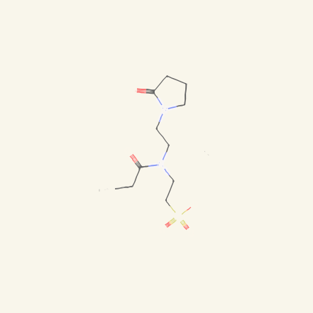 CCCCCCCCCCCC(=O)N(CCN1CCCC1=O)CCS(=O)(=O)[O-].[Na+]